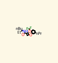 CCCCC(CC)NC(=O)C1CC(Oc2cc(CCC)ccc2OC(F)F)C1